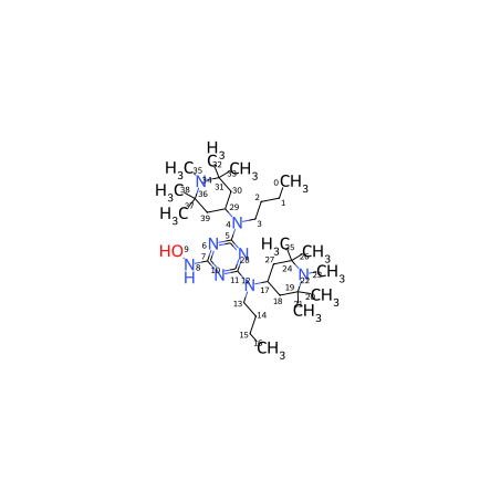 CCCCN(c1nc(NO)nc(N(CCCC)C2CC(C)(C)N(C)C(C)(C)C2)n1)C1CC(C)(C)N(C)C(C)(C)C1